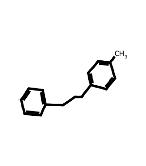 Cc1ccc(CCCc2cc[c]cc2)cc1